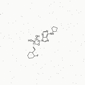 O[C@@H]1[C@H](O)[C@@H](C=CC2CCCCC2F)O[C@H]1n1cnc2c(NC3CCCC3)ncnc21